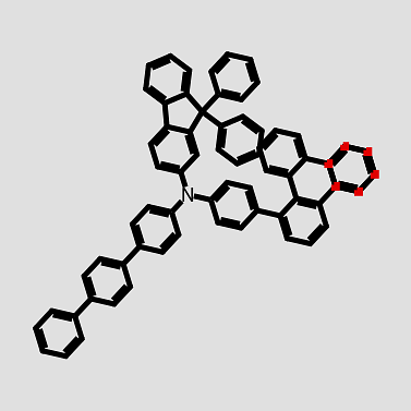 c1ccc(-c2ccc(-c3ccc(N(c4ccc(-c5cccc(-c6ccccc6)c5-c5ccccc5-c5ccccc5)cc4)c4ccc5c(c4)C(c4ccccc4)(c4ccccc4)c4ccccc4-5)cc3)cc2)cc1